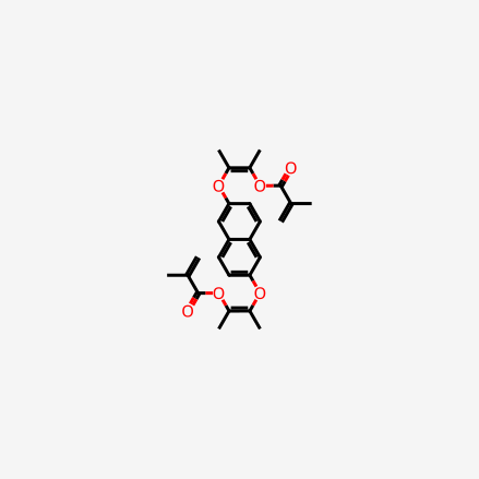 C=C(C)C(=O)OC(C)=C(C)Oc1ccc2cc(OC(C)=C(C)OC(=O)C(=C)C)ccc2c1